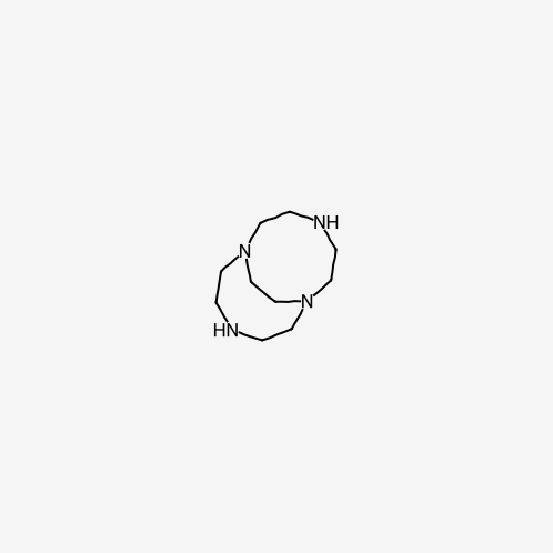 C1CN2CCNCCN(CCN1)CC2